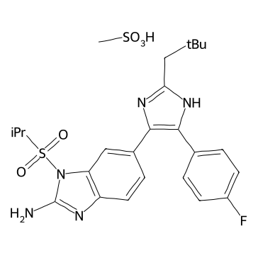 CC(C)S(=O)(=O)n1c(N)nc2ccc(-c3nc(CC(C)(C)C)[nH]c3-c3ccc(F)cc3)cc21.CS(=O)(=O)O